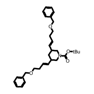 CC(C)(C)OC(=O)N1CC(C=CCCOCc2ccccc2)CC(C=CCCOCc2ccccc2)C1